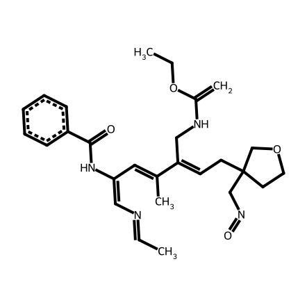 C=C(NCC(=C\CC1(CN=O)CCOC1)/C(C)=C/C(=C\N=C\C)NC(=O)c1ccccc1)OCC